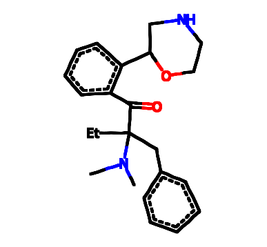 CCC(Cc1ccccc1)(C(=O)c1ccccc1C1CNCCO1)N(C)C